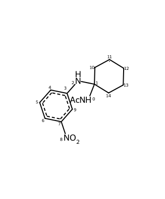 CC(=O)NC1(Nc2cccc([N+](=O)[O-])c2)C[CH]CCC1